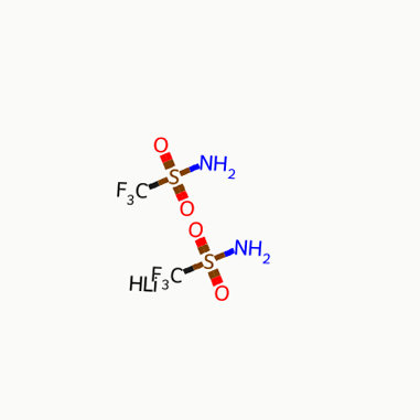 NS(=O)(=O)C(F)(F)F.NS(=O)(=O)C(F)(F)F.[LiH]